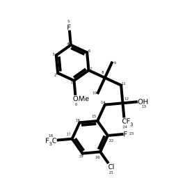 COc1ccc(F)cc1C(C)(C)CC(O)(Cc1cc(C(F)(F)F)cc(Cl)c1F)C(F)(F)F